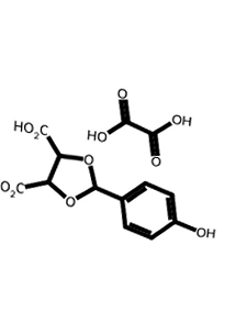 O=C(O)C(=O)O.O=C(O)C1OC(c2ccc(O)cc2)OC1C(=O)O